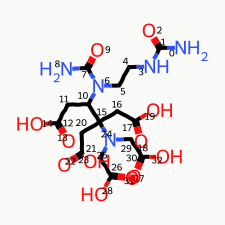 NC(=O)NCCN(C(N)=O)C(CC(=O)O)C(CC(=O)O)(CC(=O)O)N(CC(=O)O)CC(=O)O